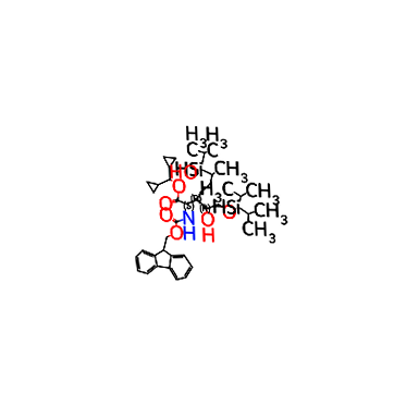 CC(C)[SiH](O)C(C)CC[C@H]([C@H](NC(=O)OCC1c2ccccc2-c2ccccc21)C(=O)OC(C1CC1)C1CC1)[C@@H](O)CO[SiH](C(C)C)C(C)C